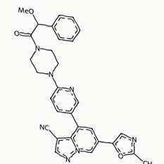 COC(C(=O)N1CCN(c2ccc(-c3cc(-c4cnc(C)o4)cn4ncc(C#N)c34)cn2)CC1)c1ccccc1